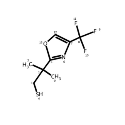 CC(C)(CS)c1nc(C(F)(F)F)co1